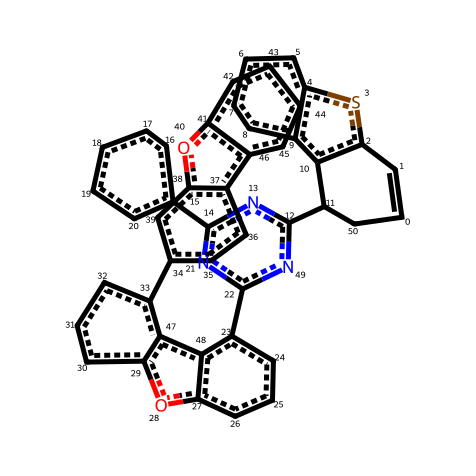 C1=Cc2sc3ccccc3c2C(c2nc(-c3ccccc3)nc(-c3cccc4oc5cccc(-c6ccc7c(c6)oc6ccccc67)c5c34)n2)C1